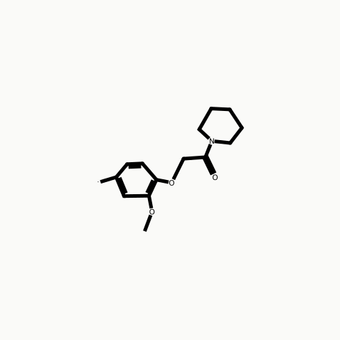 [CH2]c1ccc(OCC(=O)N2CCCCC2)c(OC)c1